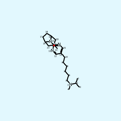 CC(C)N(C)CCCCCCc1cnc(N2C3CCC2CN(C)C3)nc1